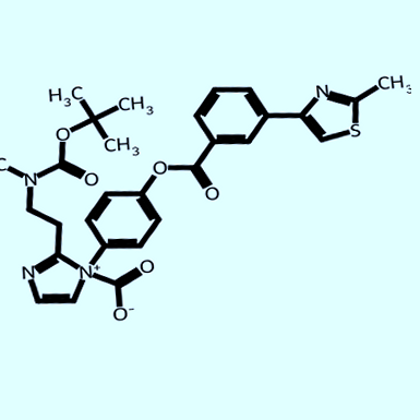 Cc1nc(-c2cccc(C(=O)Oc3ccc([N+]4(C(=O)[O-])C=CN=C4CCN(C)C(=O)OC(C)(C)C)cc3)c2)cs1